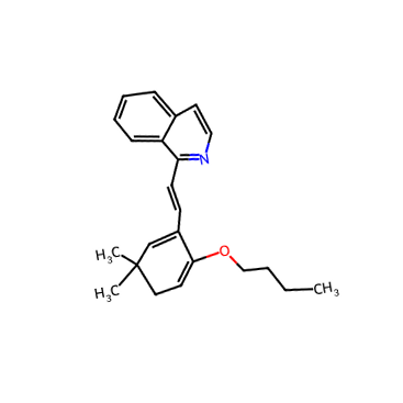 CCCCOC1=CCC(C)(C)C=C1C=Cc1nccc2ccccc12